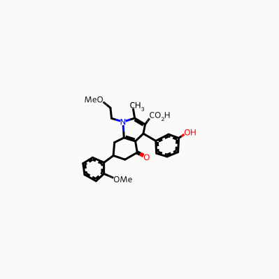 COCCN1C(C)=C(C(=O)O)C(c2cccc(O)c2)C2=C1CC(c1ccccc1OC)CC2=O